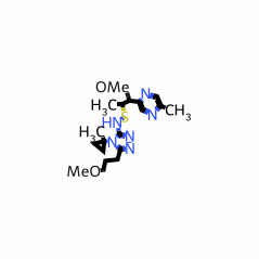 COCCCc1nnc(NSC(C)C(OC)c2cnc(C)cn2)n1C1(C)CC1